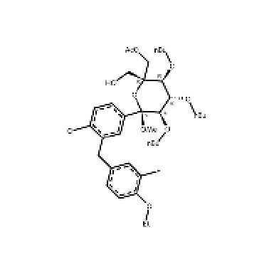 CCCCO[C@@H]1[C@@H](OCCCC)[C@](OC)(c2ccc(Cl)c(Cc3ccc(OCC)c(F)c3)c2)O[C@](CO)(COC(C)=O)[C@H]1OCCCC